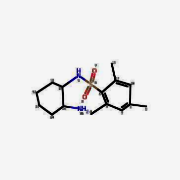 Cc1cc(C)c(S(=O)(=O)NC2CCCCC2N)c(C)c1